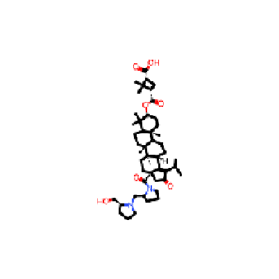 CC(C)C1=C2[C@H]3CCC4[C@@]5(C)CC[C@H](OC(=O)[C@H]6C[C@@H](C(=O)O)C6(C)C)C(C)(C)C5CC[C@@]4(C)[C@]3(C)CC[C@@]2(C(=O)N2CCC[C@H]2CN2CCC[C@H]2CO)CC1=O